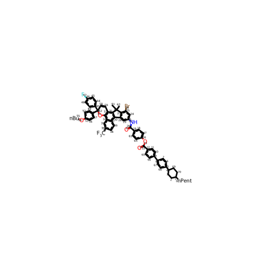 CCCCCC1CCC(c2ccc(-c3ccc(C(=O)Oc4ccc(C(=O)Nc5cc(Br)c6c(c5)-c5c(c7c(c8cc(C(F)(F)F)ccc58)OC(c5ccc(F)cc5)(c5ccc(OCCCC)cc5)C=C7)C6(C)C)cc4)cc3)cc2)CC1